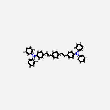 C1=CCCC(N(c2ccccc2)c2ccc(C=Cc3ccc(C=Cc4ccc(N(c5ccccc5)c5ccccc5)cc4)cc3)cc2)=C1